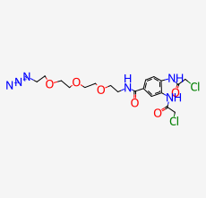 [N-]=[N+]=NCCOCCOCCOCCNC(=O)c1ccc(NC(=O)CCl)c(NC(=O)CCl)c1